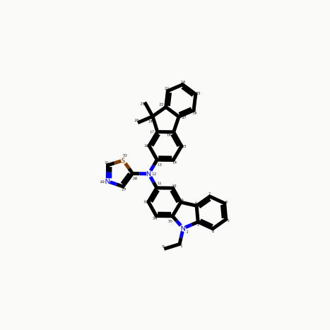 CCn1c2ccccc2c2cc(N(c3ccc4c(c3)C(C)(C)c3ccccc3-4)c3cncs3)ccc21